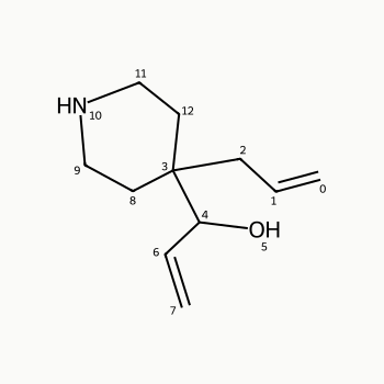 C=CCC1(C(O)C=C)CCNCC1